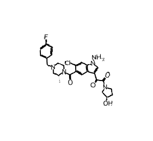 C[C@@H]1CN(Cc2ccc(F)cc2)CCN1C(=O)c1cc2c(C(=O)C(=O)N3CC[C@@H](O)C3)cn(N)c2cc1Cl